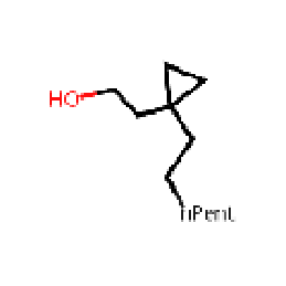 CCCCCCCC1(CCO)CC1